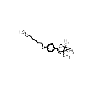 CC1(C)OB(c2ccc(OCCCCCO[SiH3])cc2)OC1(C)C